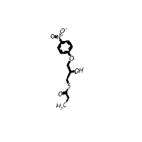 CCC(=O)SCC(O)COc1ccc([N+](=O)[O-])cc1